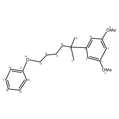 COc1cc(OC)cc(C(C)(C)CCCCOc2ccccc2)c1